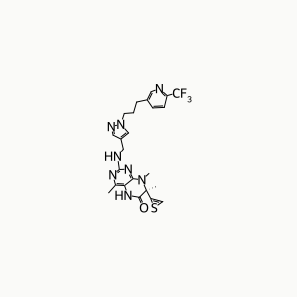 Cc1nc(NCc2cnn(CCCc3ccc(C(F)(F)F)nc3)c2)nc2c1NC(=O)[C@](C)(C1=CS1)N2C